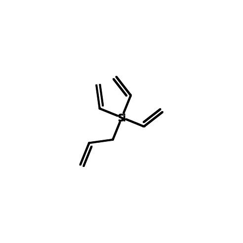 C=CC[Si](C=C)(C=C)C=C